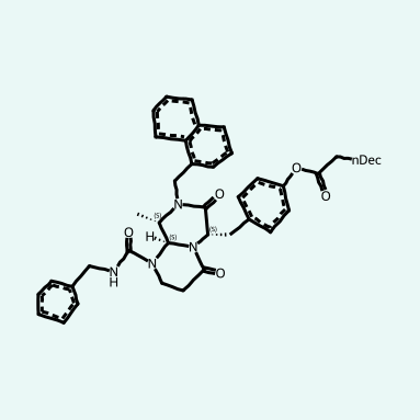 CCCCCCCCCCCC(=O)Oc1ccc(C[C@H]2C(=O)N(Cc3cccc4ccccc34)[C@@H](C)[C@@H]3N(C(=O)NCc4ccccc4)CCC(=O)N32)cc1